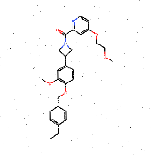 CCC1=CC[C@H](COc2ccc(C3CN(C(=O)c4cc(OCCOC)ccn4)C3)cc2OC)C=C1